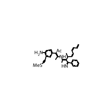 C=C/C=C\C=C/C(C)/C(C(=N)c1ccccc1)=C(/C)N/C(C)=C(\C(C)=O)c1ccc(N)c(C#CSC)c1